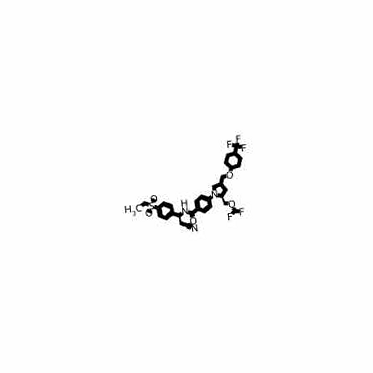 CCS(=O)(=O)c1ccc([C@H](CC#N)NC(=O)c2ccc(N3CC(COC4CCC(C(F)(F)F)CC4)C[C@H]3COC(F)F)cc2)cc1